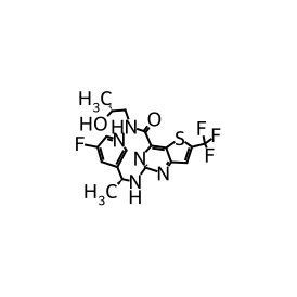 C[C@H](Nc1nc(C(=O)NC[C@@H](C)O)c2sc(C(F)(F)F)cc2n1)c1cncc(F)c1